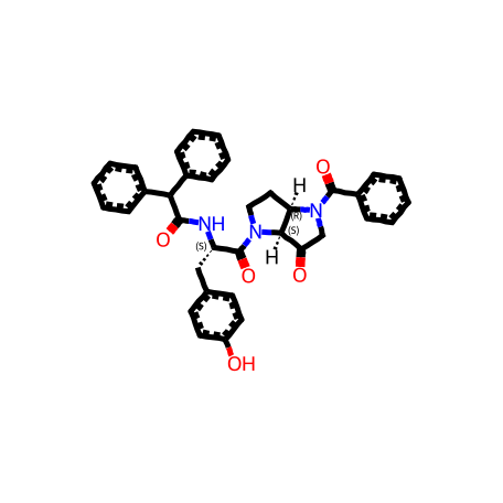 O=C(N[C@@H](Cc1ccc(O)cc1)C(=O)N1CC[C@@H]2[C@H]1C(=O)CN2C(=O)c1ccccc1)C(c1ccccc1)c1ccccc1